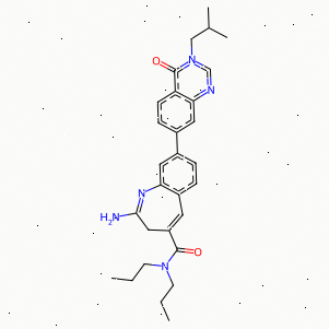 CCCN(CCC)C(=O)C1=Cc2ccc(-c3ccc4c(=O)n(CC(C)C)cnc4c3)cc2N=C(N)C1